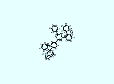 c1ccc(-c2nc(-c3ccc4c(c3)-c3ccccc3C43C4CC5CC(C4)CC3C5)nc(-c3cccc4oc5ccccc5c34)n2)cc1